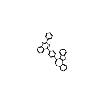 C1=C(c2ccc(-c3nc(-c4ccccc4)nc4ccccc34)cc2)c2c(sc3ccccc23)-c2ccccc2C1